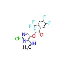 CNc1nc(Cl)ncc1OCC(=O)c1cc(F)c(F)cc1C(F)(F)F